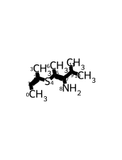 C/C=C(/C)S/C(C)=C(\N)C(C)C